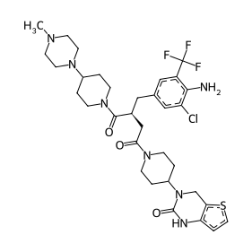 CN1CCN(C2CCN(C(=O)[C@H](CC(=O)N3CCC(N4Cc5sccc5NC4=O)CC3)Cc3cc(Cl)c(N)c(C(F)(F)F)c3)CC2)CC1